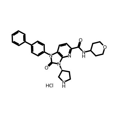 Cl.O=C(NC1CCOCC1)c1ccc2c(n1)n([C@H]1CCNC1)c(=O)n2-c1ccc(-c2ccccc2)cc1